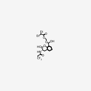 CCC(CC)C(=O)OCOC(O)c1cccc2c1OB(O)[C@@H](NC(=O)CC(F)(F)F)C2